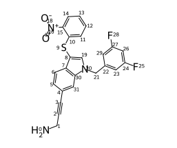 NCC#Cc1ccc2c(Sc3ccccc3[N+](=O)[O-])cn(Cc3cc(F)cc(F)c3)c2c1